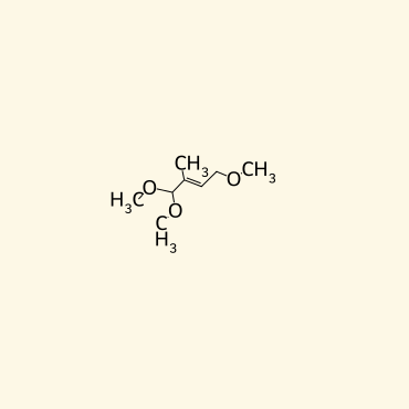 COC/C=C(\C)C(OC)OC